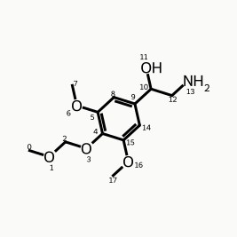 COCOc1c(OC)cc(C(O)CN)cc1OC